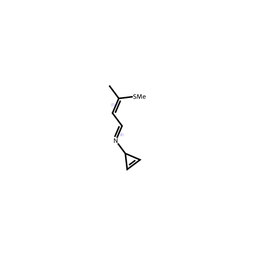 CS/C(C)=C\C=N\C1C=C1